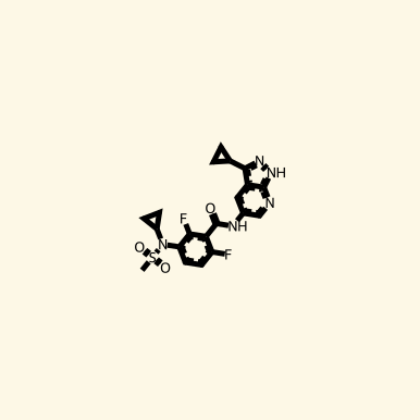 CS(=O)(=O)N(c1ccc(F)c(C(=O)Nc2cnc3[nH]nc(C4CC4)c3c2)c1F)C1CC1